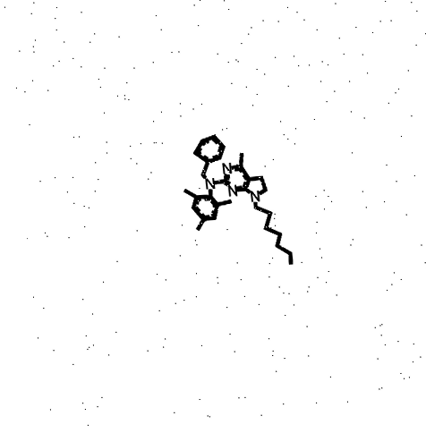 CCCCCCCN1CCc2c(C)nc(N(Cc3ccccc3)c3c(C)cc(C)cc3C)nc21